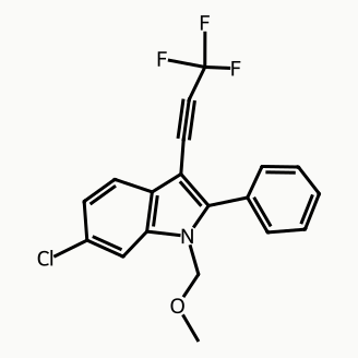 COCn1c(-c2ccccc2)c(C#CC(F)(F)F)c2ccc(Cl)cc21